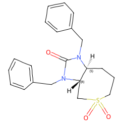 O=C1N(Cc2ccccc2)[C@H]2CCCS(=O)(=O)C[C@@H]2N1Cc1ccccc1